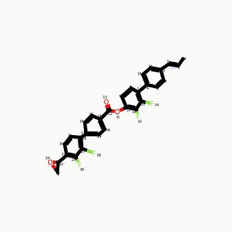 C/C=C/c1ccc(-c2ccc(OC(=O)c3ccc(-c4ccc(C5CO5)c(F)c4F)cc3)c(F)c2F)cc1